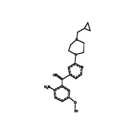 CC(C)Oc1ccc(N)c(C(=N)c2ccnc(N3CCN(CC4CC4)CC3)c2)c1